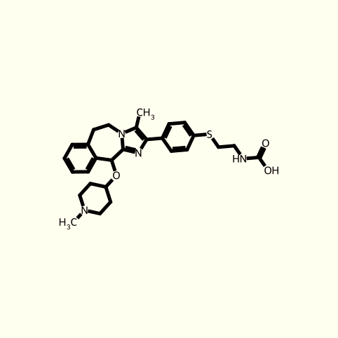 Cc1c(-c2ccc(SCCNC(=O)O)cc2)nc2n1CCc1ccccc1C2OC1CCN(C)CC1